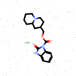 Cl.O=C(OCC1CCN2CCCCC2C1)n1c(=O)[nH]c2ccccc21